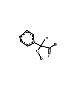 CCOC(O)(C(=O)CC)c1ccccc1